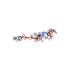 C#C/C=C(\C=N/C)C(=O)OCCCOC(=O)CCC(=O)C(C)(C)OCC(C)(C)N1CCN(Cc2ccc(OC)c(OC)c2OC)CC1